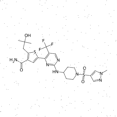 Cn1cc(S(=O)(=O)N2CCC(Nc3ncc(C(F)(F)F)c(-c4cc(C(N)=O)c(CC(C)(C)O)s4)n3)CC2)cn1